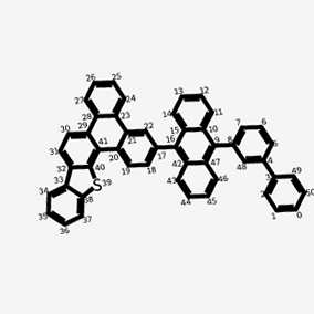 c1ccc(-c2cccc(-c3c4ccccc4c(-c4ccc5c(c4)c4ccccc4c4ccc6c7ccccc7sc6c45)c4ccccc34)c2)cc1